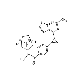 Cc1nc(C2CC2c2ccc(C(=O)N(C)C3C[C@H]4CC[C@@H](C3)N4)cc2)c2ccsc2n1